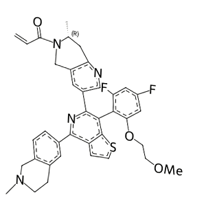 C=CC(=O)N1Cc2cc(-c3nc(-c4ccc5c(c4)CCN(C)C5)c4ccsc4c3-c3c(F)cc(F)cc3OCCOC)cnc2C[C@H]1C